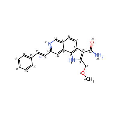 COCc1[nH]c2c(ccc3cnc(/C=C/c4ccccc4)cc32)c1C(N)=O